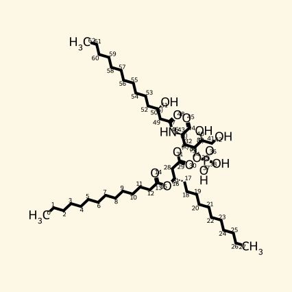 CCCCCCCCCCCCCC(=O)O[C@@H](CCCCCCCCCCC)CC(=O)O[C@@H]([C@H](OP(=O)(O)O)[C@H](O)CO)[C@H](C=O)NC(=O)C[C@@H](O)CCCCCCCCCCC